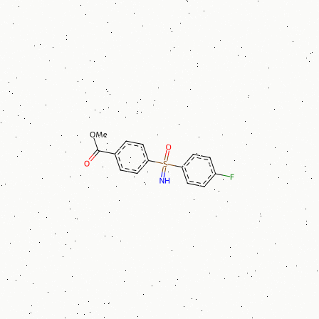 COC(=O)c1ccc(S(=N)(=O)c2ccc(F)cc2)cc1